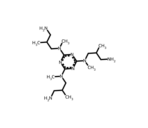 CC(CN)CN(C)c1nc(N(C)CC(C)CN)nc(N(C)CC(C)CN)n1